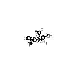 COc1ccc(N(C)C(=O)C(Cc2cc(F)cc(F)c2)NC(=O)Cn2nc(C(F)(F)F)c3c2CCC(=O)C3)cc1